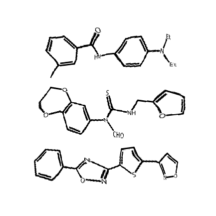 CCN(CC)c1ccc(NC(=O)c2cccc(C)c2)cc1.O=CN(C(=S)NCc1ccco1)c1ccc2c(c1)OCCO2.c1ccc(-c2nc(-c3ccc(-c4ccon4)s3)no2)cc1